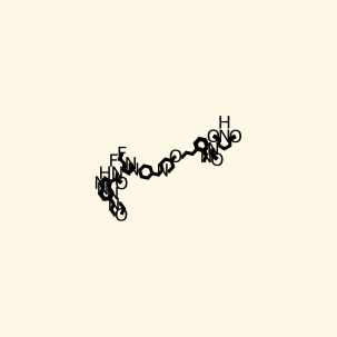 Cn1c(=O)n(C2CCC(=O)NC2=O)c2cccc(CCCOC3CCN(CC4CCC(n5cc(NC(=O)c6cnn7ccc(N8CCOCC8)nc67)c(C(F)F)n5)CC4)CC3)c21